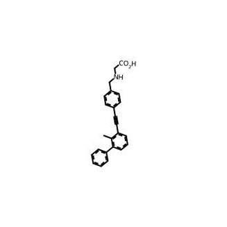 Cc1c(C#Cc2ccc(CNCC(=O)O)cc2)cccc1-c1ccccc1